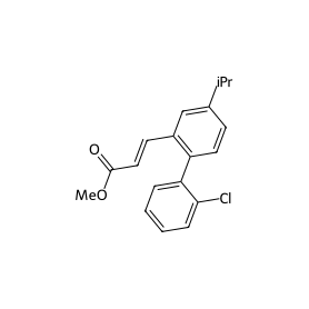 COC(=O)/C=C/c1cc(C(C)C)ccc1-c1ccccc1Cl